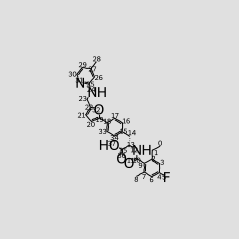 CCc1cc(F)cc(C)c1C(=O)N[C@@H](Cc1ccc(-c2ccc(CNc3cc(C)ccn3)o2)cc1)C(=O)O